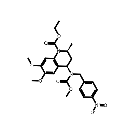 CCOC(=O)N1c2cc(OC)c(OC)cc2[C@H](N(Cc2ccc([N+](=O)[O-])cc2)C(=O)OC)C[C@@H]1C